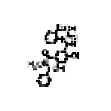 CCc1ccccc1-n1c(O)nnc1-c1cc(C(=O)N(C)Cc2ccccc2)c(O)cc1O